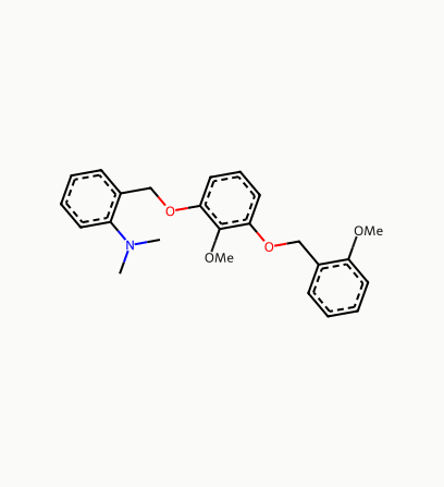 COc1ccccc1COc1cccc(OCc2ccccc2N(C)C)c1OC